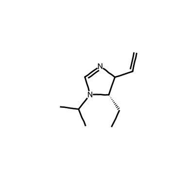 C=CC1N=CN(C(C)C)[C@H]1CC